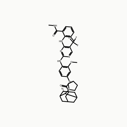 CNC(=O)c1cccc(C)c1Nc1nc(Nc2ccc(NC(=O)[C@]34CC5CC(C3)[C@H](N3CCCC3)C(C5)C4)cc2OC)ncc1C(F)(F)F